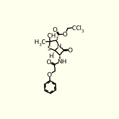 CC1(C)S[C@@H]2[C@H](NC(=O)COc3ccccc3)C(=O)N2[C@H]1C(=O)OCC(Cl)(Cl)Cl